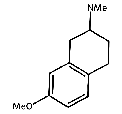 CNC1CCc2ccc(OC)cc2C1